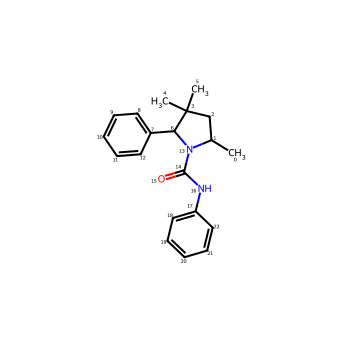 CC1CC(C)(C)C(c2ccccc2)N1C(=O)Nc1ccccc1